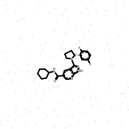 O=C(NC1CCCCC1)c1cnc2[nH]nc(N3CCC[C@@H]3c3cc(F)ccc3F)c2c1